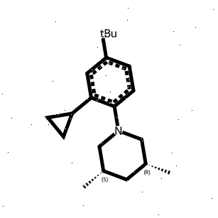 C[C@@H]1C[C@H](C)CN(c2ccc(C(C)(C)C)cc2C2CC2)C1